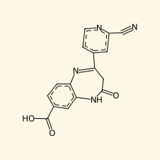 N#Cc1cc(C2=Nc3ccc(C(=O)O)cc3NC(=O)C2)ccn1